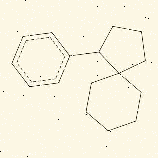 c1ccc(C2CCCC23CCCCC3)cc1